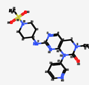 CN1Cc2cnc(NC3CCN(S(C)(=O)=O)CC3)nc2N(c2cccnc2)C1=O